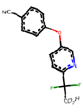 N#Cc1ccc(Oc2ccc(C(F)(F)C(=O)O)nc2)cc1